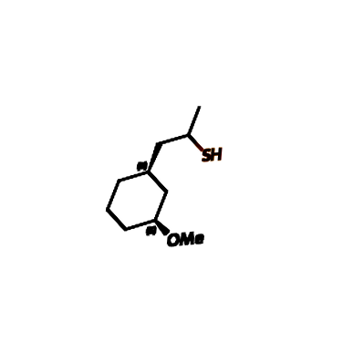 CO[C@H]1CCC[C@@H](CC(C)S)C1